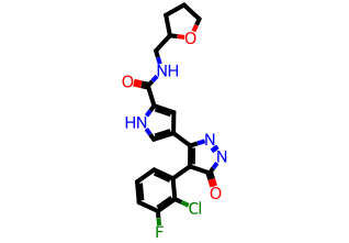 O=C1N=NC(c2c[nH]c(C(=O)NCC3CCCO3)c2)=C1c1cccc(F)c1Cl